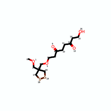 COCC1(COCCC(=O)CCC(=O)CCO)CSSC1